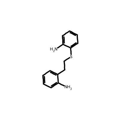 Nc1ccccc1CCSc1ccccc1N